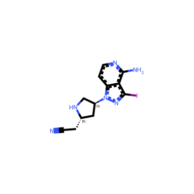 N#CC[C@H]1C[C@H](n2nc(I)c3c(N)nccc32)CN1